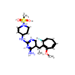 COC1=C([C@H](C)C2CN=C(NC3CCN(S(C)(=O)=O)CC3)N=C2N)C(F)=CCC=C1